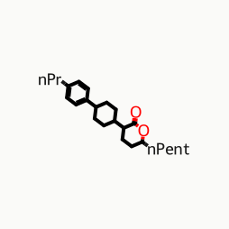 CCCCCC1CCC(C2CCC(c3ccc(CCC)cc3)CC2)C(=O)O1